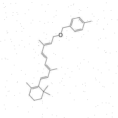 CC(C=CC1=C(C)CCCC1(C)C)=CC=CC(C)=CCOCc1ccc(C)cc1